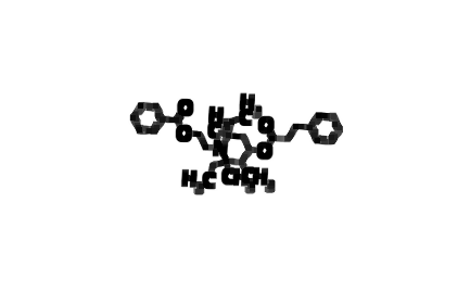 CCC1(C)CC(OC(=O)CCc2ccccc2)C(C)C(C)(CC)N1CCOC(=O)c1ccccc1